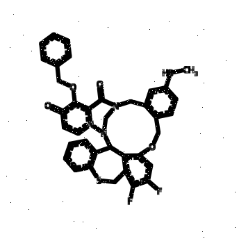 CBc1ccc2c(c1)CN1CN(C3c4ccccc4SCc4c(F)c(F)cc(c43)OC2)n2ccc(=O)c(OCc3ccccc3)c2C1=O